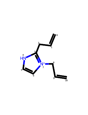 C=CCc1[nH]cc[n+]1CC=C